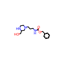 O=C(NCCCN1CCNC(CO)C1)OCc1ccccc1